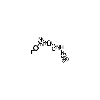 O=C(CN1CCN(c2nncc(-c3ccc(F)cc3)n2)CC1)NCCN1CCS(=O)(=O)CC1